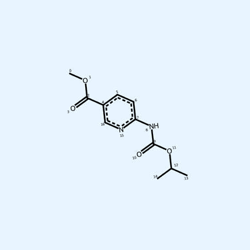 COC(=O)c1ccc(NC(=O)OC(C)C)nc1